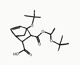 CC(OC(=O)C1C(C(=O)O)C2C=CC1(OC(C)(C)C)C2)OC(C)(C)C